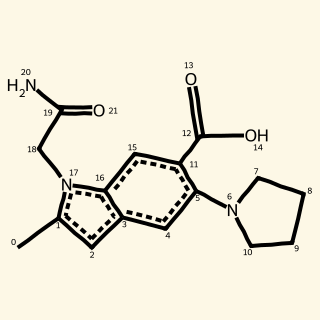 Cc1cc2cc(N3CCCC3)c(C(=O)O)cc2n1CC(N)=O